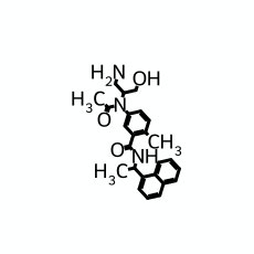 CC(=O)N(c1ccc(C)c(C(=O)NC(C)c2cccc3ccccc23)c1)C(CN)CO